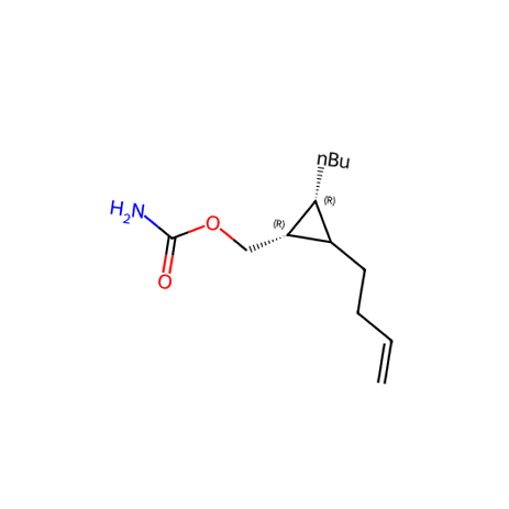 C=CCCC1[C@@H](CCCC)[C@H]1COC(N)=O